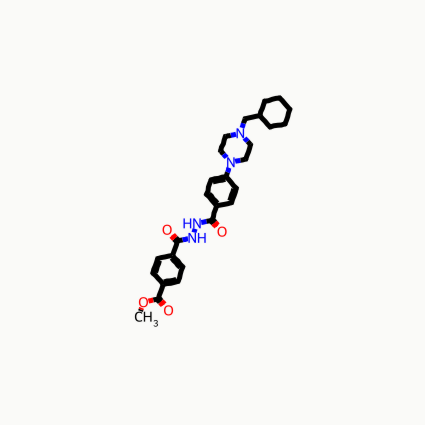 COC(=O)c1ccc(C(=O)NNC(=O)c2ccc(N3CCN(CC4CCCCC4)CC3)cc2)cc1